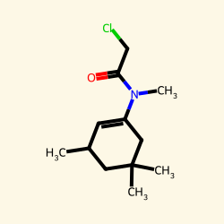 CC1C=C(N(C)C(=O)CCl)CC(C)(C)C1